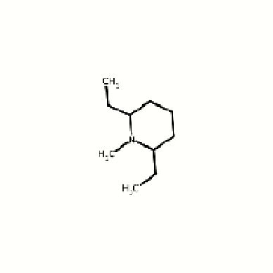 CCC1CCCC(CC)N1C